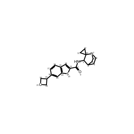 O=C(NC1C2CCN(CC2)C12CC2)c1cc2ccc(C3COC3)cc2s1